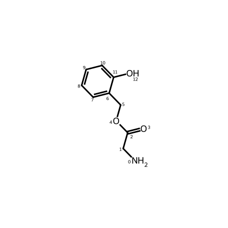 NCC(=O)OCc1ccccc1O